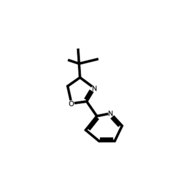 CC(C)(C)C1COC(c2ccccn2)=N1